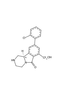 Cl.O=C1c2c(cc(-c3ccccc3Cl)cc2C(F)(F)F)[C@@H]2CNCCN12